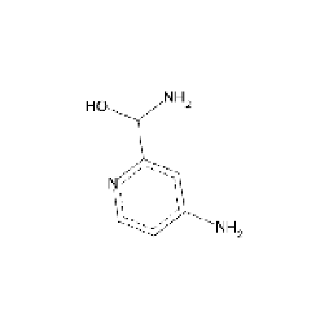 Nc1ccnc(C(N)O)c1